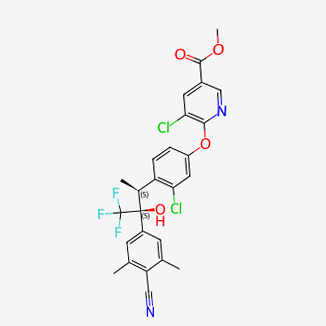 COC(=O)c1cnc(Oc2ccc([C@H](C)[C@](O)(c3cc(C)c(C#N)c(C)c3)C(F)(F)F)c(Cl)c2)c(Cl)c1